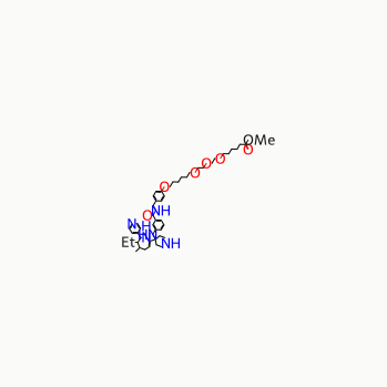 CCC1C(C)CC=C(C2(Nc3cccc(C(=O)NCc4ccc(OCCCCCCOCCOCCOCCCCCC(=O)OC)cc4)c3)CCNCC2)NC1c1ccncc1